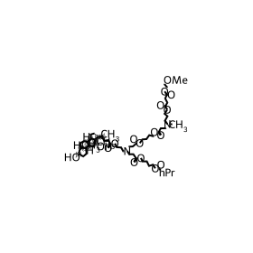 CCCC(=O)OCCCCOC(=O)CCN(CCCOC(=O)CC[C@@H](C)[C@H]1CC[C@H]2[C@@H]3CC[C@@H]4C[C@@H](O)CC[C@]4(C)[C@H]3C[C@H](O)[C@]12C)CCC(=O)OCCCCOC(=O)CCN(C)CCCOC(=O)CCC(=O)OCCOC